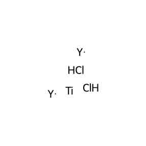 Cl.Cl.[Ti].[Y].[Y]